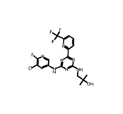 CC(C)(O)CNc1nc(Nc2cnc(F)c(Cl)c2)nc(-c2cccc(C(F)(F)F)n2)n1